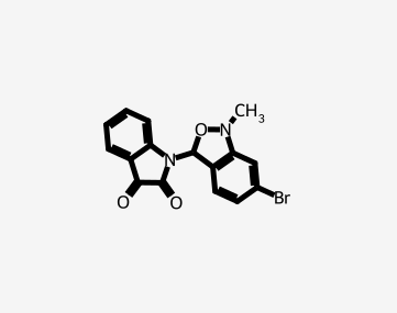 CN1OC(N2C(=O)C(=O)c3ccccc32)c2ccc(Br)cc21